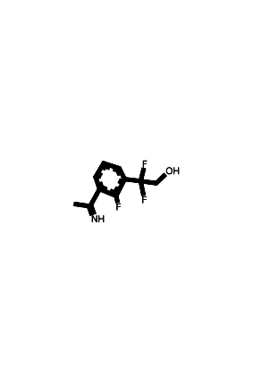 CC(=N)c1cccc(C(F)(F)CO)c1F